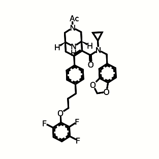 CC(=O)N1C[C@H]2CC(c3ccc(CCCOc4c(F)ccc(F)c4F)cc3)=C(C(=O)N(Cc3ccc4c(c3)OCO4)C3CC3)[C@@H](C1)N2